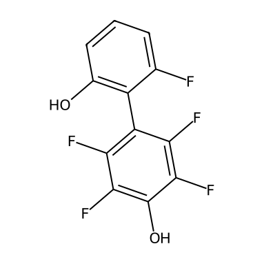 Oc1cccc(F)c1-c1c(F)c(F)c(O)c(F)c1F